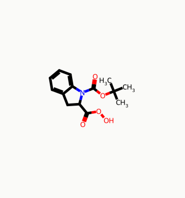 CC(C)(C)OC(=O)N1c2ccccc2CC1C(=O)OO